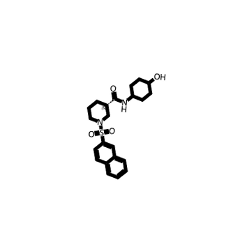 O=C(NC1CCC(O)CC1)[C@H]1CCCN(S(=O)(=O)c2ccc3ccccc3c2)C1